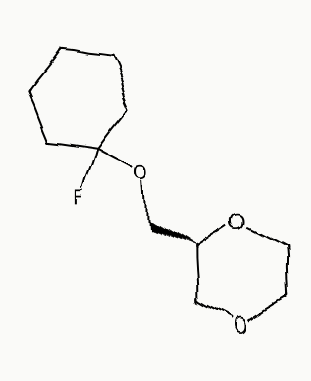 FC1(OC[C@@H]2COCCO2)CCCCC1